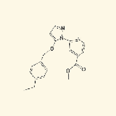 CCc1ccc(COc2ccnn2-c2cc(C(=O)OC)ccn2)cc1